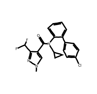 Cn1cc(C(=O)N(c2ccccc2-c2ccc(Cl)cc2)C2CC2)c(C(F)F)n1